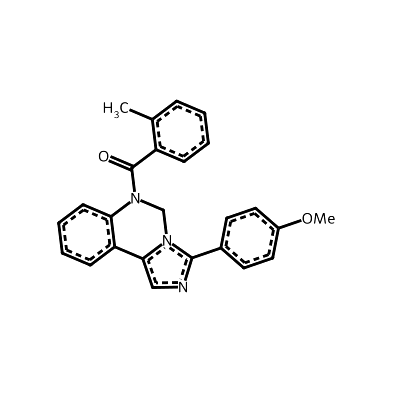 COc1ccc(-c2ncc3n2CN(C(=O)c2ccccc2C)c2ccccc2-3)cc1